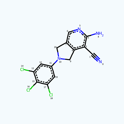 N#Cc1c(N)ncc2c1CN(c1cc(Cl)c(Cl)c(Cl)c1)C2